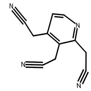 N#CCc1ccnc(CC#N)c1CC#N